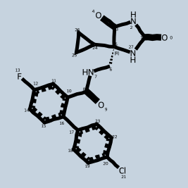 O=C1NC(=O)[C@](CNC(=O)c2cc(F)ccc2-c2ccc(Cl)cc2)(C2CC2)N1